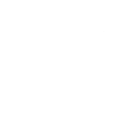 [Pd][c]1ccc(-c2ccccc2)c(-c2ccccc2)c1-c1ccccc1